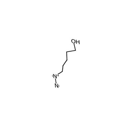 [N][N+]CCCCCO